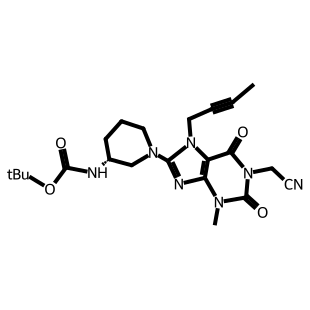 CC#CCn1c(N2CCC[C@@H](NC(=O)OC(C)(C)C)C2)nc2c1c(=O)n(CC#N)c(=O)n2C